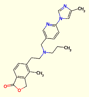 CCCN(CCc1ccc2c(c1C)COC2=O)Cc1ccc(-n2cnc(C)c2)nc1